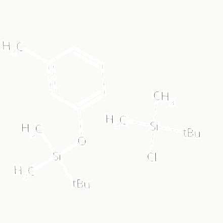 CC(C)(C)[Si](C)(C)Cl.Cc1cccc(O[Si](C)(C)C(C)(C)C)c1